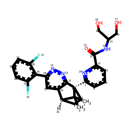 CC1(C)[C@H]2CC[C@]1(c1cccc(C(=O)NC(CO)CO)n1)c1nnc(-c3c(F)cccc3F)cc12